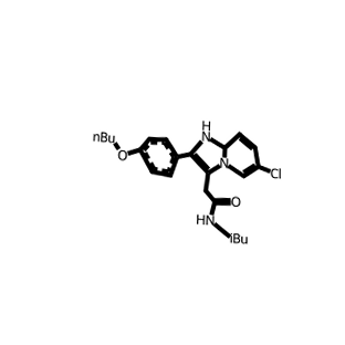 CCCCOc1ccc(C2=C(CC(=O)NC(C)CC)N3C=C(Cl)C=CC3N2)cc1